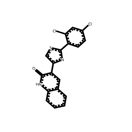 O=c1[nH]c2ccccc2cc1-c1csc(-c2ccc(Cl)cc2Cl)n1